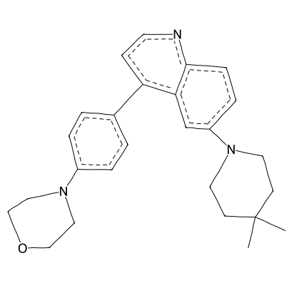 CC1(C)CCN(c2ccc3nccc(-c4ccc(N5CCOCC5)cc4)c3c2)CC1